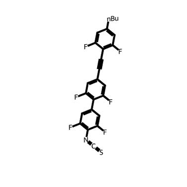 CCCCc1cc(F)c(C#Cc2cc(F)c(-c3cc(F)c(N=C=S)c(F)c3)c(F)c2)c(F)c1